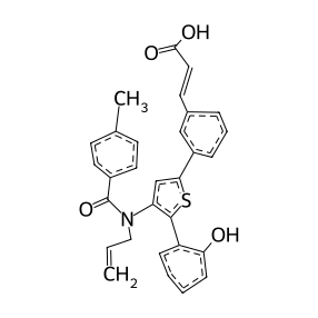 C=CCN(C(=O)c1ccc(C)cc1)c1cc(-c2cccc(C=CC(=O)O)c2)sc1-c1ccccc1O